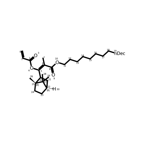 C=CC(=O)OC(=C(C)C(=O)OCCCCCCCCCCCCCCCCCC)C1C[C@H]2CC[C@@]1(C)C2(C)C